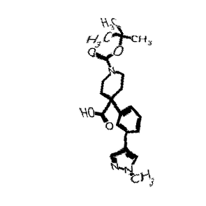 Cn1cc(-c2cccc(C3(C(=O)O)CCN(C(=O)OC(C)(C)C)CC3)c2)cn1